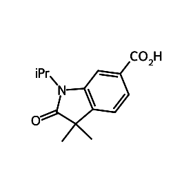 CC(C)N1C(=O)C(C)(C)c2ccc(C(=O)O)cc21